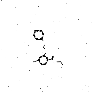 CCOC(=O)c1ccc(C)cc1OCSc1ccccc1